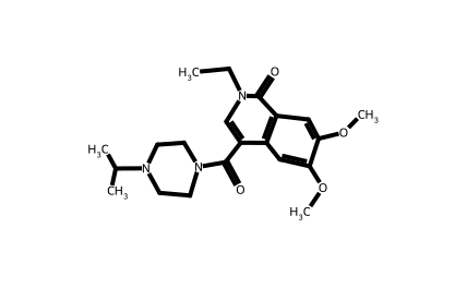 CCn1cc(C(=O)N2CCN(C(C)C)CC2)c2cc(OC)c(OC)cc2c1=O